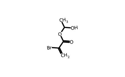 C=C(Br)C(=O)OC(C)O